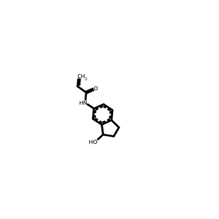 C=CC(=O)Nc1ccc2c(c1)C(O)CC2